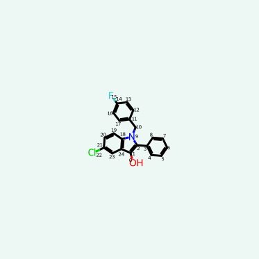 Oc1c(-c2ccccc2)n(Cc2ccc(F)cc2)c2ccc(Cl)cc12